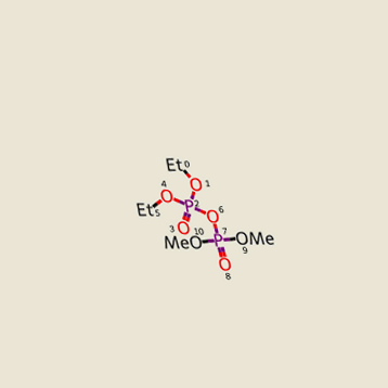 CCOP(=O)(OCC)OP(=O)(OC)OC